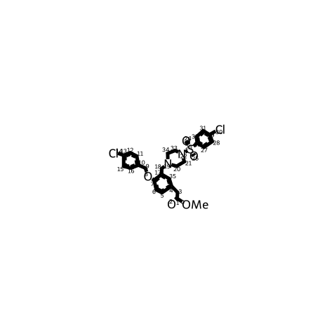 COC(=O)Cc1ccc(OCc2ccc(Cl)cc2)c(CN2CCN(S(=O)(=O)c3ccc(Cl)cc3)CC2)c1